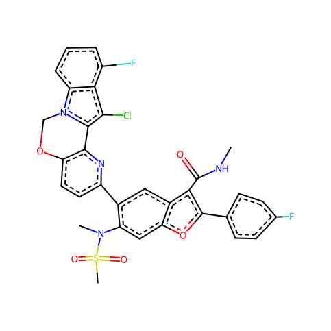 CNC(=O)c1c(-c2ccc(F)cc2)oc2cc(N(C)S(C)(=O)=O)c(-c3ccc4c(n3)-c3c(Cl)c5c(F)cccc5n3CO4)cc12